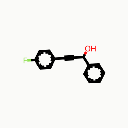 OC(C#Cc1ccc(F)cc1)c1ccccc1